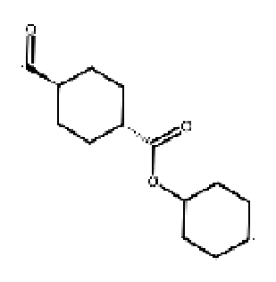 O=[C][C@H]1CC[C@H](C(=O)OC2CC[CH]CC2)CC1